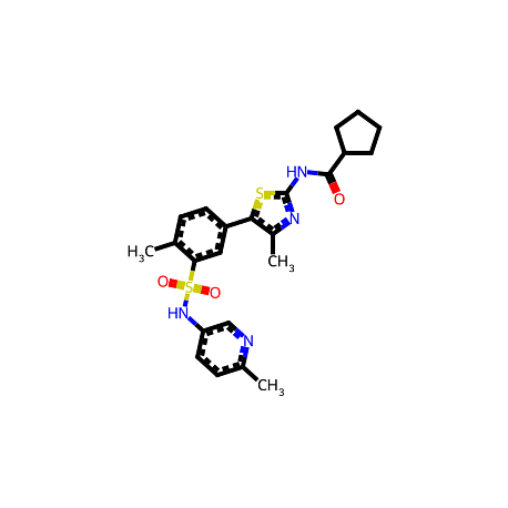 Cc1ccc(NS(=O)(=O)c2cc(-c3sc(NC(=O)C4CCCC4)nc3C)ccc2C)cn1